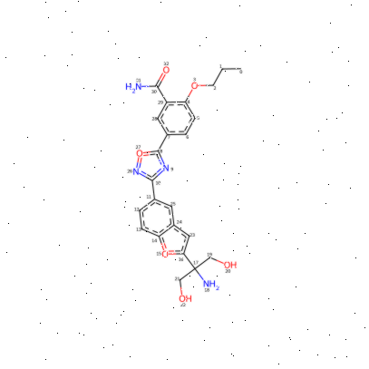 CCCOc1ccc(-c2nc(-c3ccc4oc(C(N)(CO)CO)cc4c3)no2)cc1C(N)=O